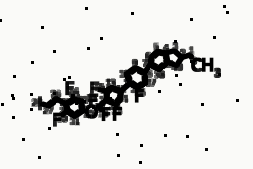 CCC1Cc2ccc(-c3ccc(-c4cc(F)c(C(F)(F)Oc5cc(F)c(C=CI)c(F)c5)c(F)c4)c(F)c3)cc2C1